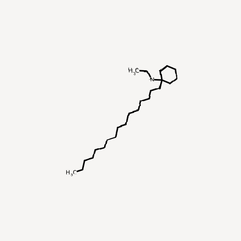 CCCCCCCCCCCCCCCCC1([N]CC)CCCCC1